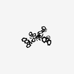 c1ccc2cc3c(cc2c1)c1ccccc1n3-c1ccc(-c2nc(-c3ccc4c(c3)oc3ccccc34)nc(-c3ccc4c(c3)oc3ccccc34)n2)c(-c2cccc3c2oc2ccccc23)c1